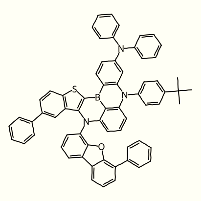 CC(C)(C)c1ccc(N2c3cc(N(c4ccccc4)c4ccccc4)ccc3B3c4sc5ccc(-c6ccccc6)cc5c4N(c4cccc5c4oc4c(-c6ccccc6)cccc45)c4cccc2c43)cc1